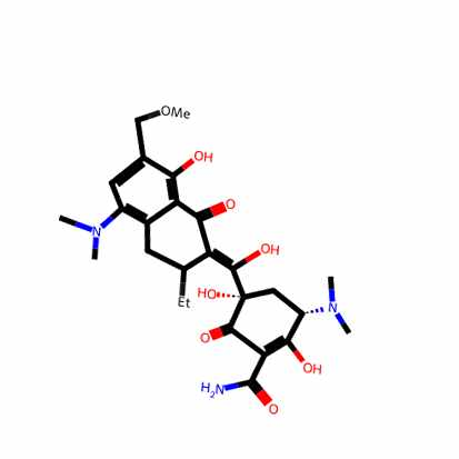 CCC1Cc2c(N(C)C)cc(COC)c(O)c2C(=O)/C1=C(\O)[C@@]1(O)C[C@H](N(C)C)C(O)=C(C(N)=O)C1=O